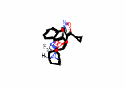 O=C(O)c1ccc(N2C3CC[C@H]2CC(OCc2c(-c4ccccc4OC(F)(F)F)noc2C2CC2)C3)nc1